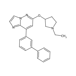 CCN1CCC(Oc2cc(-c3cccc(-c4ccccc4)c3)c3nccn3n2)C1